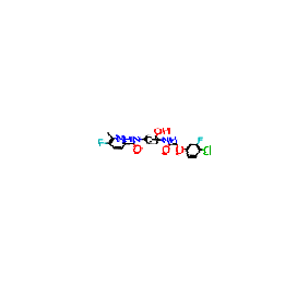 Cc1nc(C(=O)NC23CCC(NC(=O)COc4ccc(Cl)c(F)c4)(CC2)C(O)C3)ccc1F